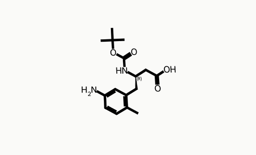 Cc1ccc(N)cc1C[C@H](CC(=O)O)NC(=O)OC(C)(C)C